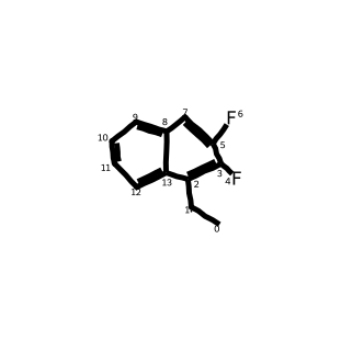 C[CH]c1c(F)c(F)cc2ccccc12